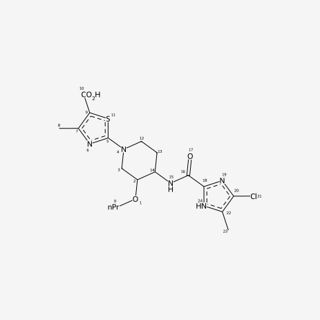 CCCOC1CN(c2nc(C)c(C(=O)O)s2)CCC1NC(=O)c1nc(Cl)c(C)[nH]1